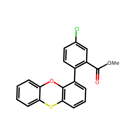 COC(=O)c1cc(Cl)ccc1-c1cccc2c1Oc1ccccc1S2